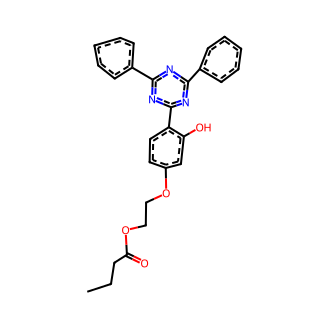 CCCC(=O)OCCOc1ccc(-c2nc(-c3ccccc3)nc(-c3ccccc3)n2)c(O)c1